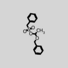 CC(OCc1ccccc1)OS(=O)(=O)Cc1ccccc1